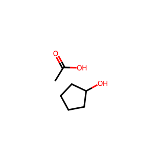 CC(=O)O.OC1CCCC1